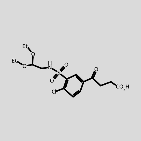 CCOC(CNS(=O)(=O)c1cc(C(=O)CCC(=O)O)ccc1Cl)OCC